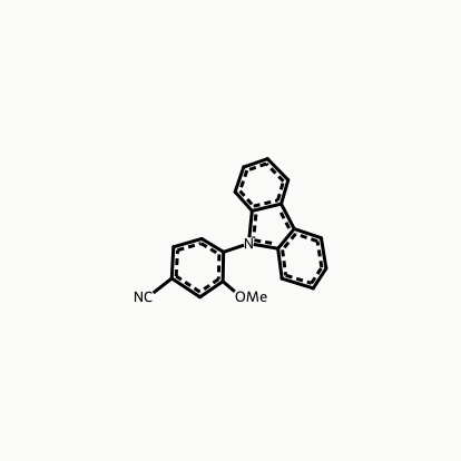 COc1cc(C#N)ccc1-n1c2ccccc2c2ccccc21